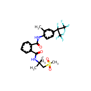 Cc1cc(C(F)(C(F)(F)F)C(F)(F)F)ccc1NC(=O)c1ccccc1C(=O)NC(C)(C)CS(C)(=O)=O